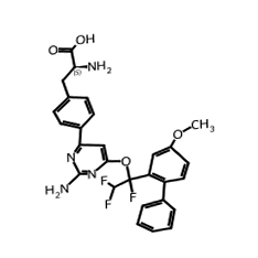 COc1ccc(-c2ccccc2)c(C(F)(Oc2cc(-c3ccc(C[C@H](N)C(=O)O)cc3)nc(N)n2)C(F)F)c1